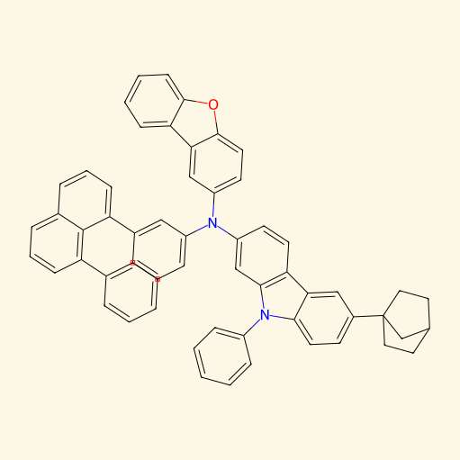 c1ccc(-c2cccc3cccc(-c4cccc(N(c5ccc6oc7ccccc7c6c5)c5ccc6c7cc(C89CCC(CC8)C9)ccc7n(-c7ccccc7)c6c5)c4)c23)cc1